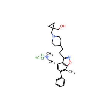 CNC.Cc1c(-c2ccccc2)ccc2c(CCC3CCN(CC4(CO)CC4)CC3)noc12.Cl.Cl